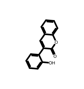 O=c1oc2ccccc2cc1-c1ccccc1O